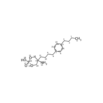 CCCCc1ccc(CCCCC2(N)COP(=O)(O)OC2)cc1